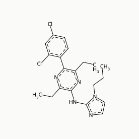 CCCn1ccnc1Nc1nc(CC)c(-c2ccc(Cl)cc2Cl)nc1CC